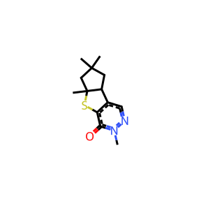 Cn1ncc2c(c1=O)SC1(C)CC(C)(C)CC21